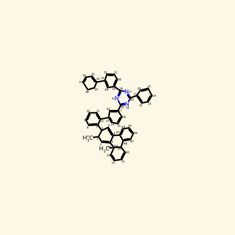 CC1C=C2C(=CC1c1ccccc1-c1cccc(-c3nc(-c4ccccc4)nc(-c4cccc(C5=CC=CCC5)c4)n3)c1)c1ccccc1C1C=CC=CC21C